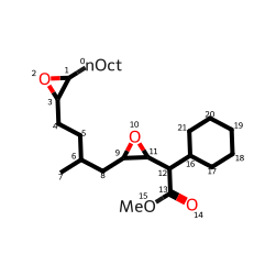 CCCCCCCCC1OC1CCC(C)CC1OC1C(C(=O)OC)C1CCCCC1